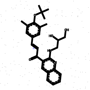 Cc1cc(/C=C/C(=O)c2cc3ccccc3nc2NCC(O)CO)cc(C)c1OC(C)(C)C